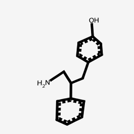 NCC(Cc1ccc(O)cc1)c1ccccc1